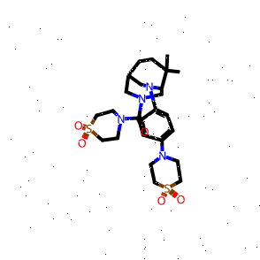 CC1(C)CCC2CN(C(=O)N3CCS(=O)(=O)CC3)CC1N(c1ccc(N3CCS(=O)(=O)CC3)cc1)C2